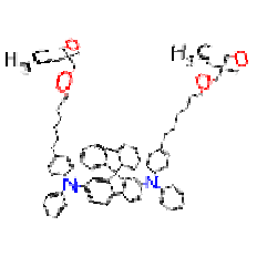 CCC1(COCCCCCCc2ccc(N(c3ccccc3)c3ccc4c(c3)C3(c5ccccc5-c5ccccc53)c3cc(N(c5ccccc5)c5ccc(CCCCCCOCC6(CC)COC6)cc5)ccc3-4)cc2)COC1